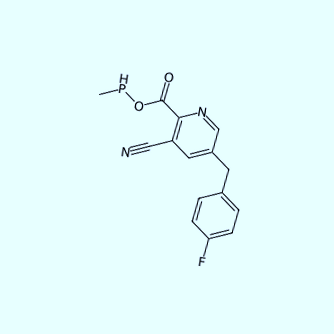 CPOC(=O)c1ncc(Cc2ccc(F)cc2)cc1C#N